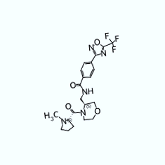 CN1CCC[C@H]1C(=O)N1CCOC[C@@H]1CNC(=O)c1ccc(-c2noc(C(F)(F)F)n2)cc1